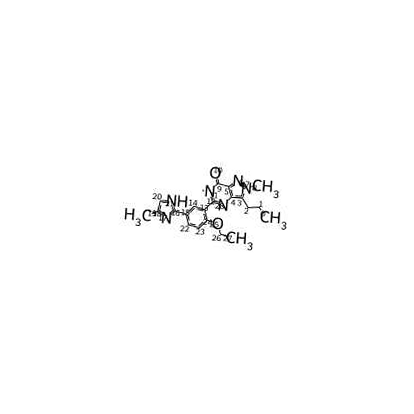 CCCc1c2c(nn1C)C(=O)[N]C(c1cc(-c3nc(C)c[nH]3)ccc1OCC)=N2